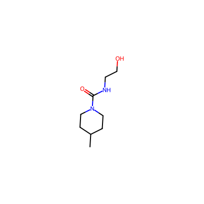 CC1CCN(C(=O)NCCO)CC1